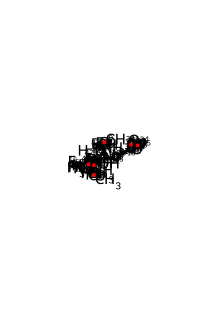 COC(=O)N[C@H](C(=O)N[C@@H](Cc1ccc(C#Cc2ccc(N3CC4CCC(C3)N4C(=O)[C@@H]3CCCO3)nc2)cc1)[C@@H](O)CN(Cc1c(F)cc(-c2cnn(C(F)F)c2)cc1F)NC(=O)[C@@H](NC(=O)OC)C(C)(C)C(F)(F)F)C(C)(C)C(F)(F)F